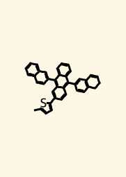 Cc1ccc(-c2ccc3c(-c4ccc5c(c4)C=CCC5)c4ccccc4c(-c4ccc5ccccc5c4)c3c2)s1